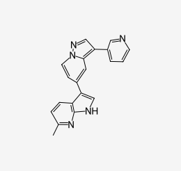 Cc1ccc2c(-c3ccn4ncc(-c5cccnc5)c4c3)c[nH]c2n1